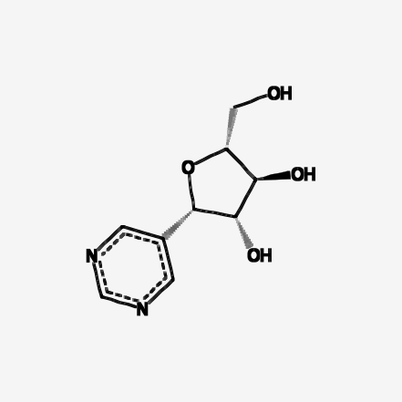 OC[C@H]1O[C@@H](c2cncnc2)[C@@H](O)[C@@H]1O